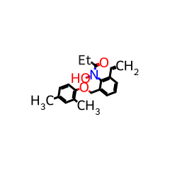 C=Cc1cccc(COc2ccc(C)cc2C)c1N(O)C(=O)CC